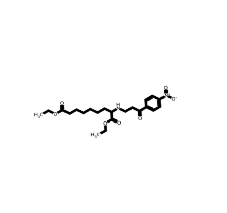 CCOC(=O)CCCCCCC(NCCC(=O)c1ccc([N+](=O)[O-])cc1)C(=O)OCC